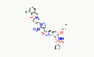 Cc1cc(Oc2c(F)cccc2F)ncc1-n1ncc(C(=O)c2cc3cc(OCC(F)F)c(NS(=O)(=O)C4CCCC4)cc3[nH]2)c1N